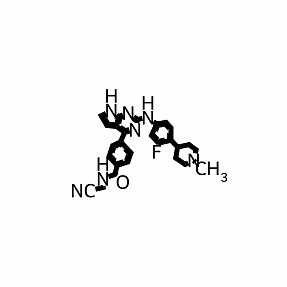 CN1CCC(c2ccc(Nc3nc(-c4ccc(C(=O)NCC#N)cc4)c4cc[nH]c4n3)cc2F)CC1